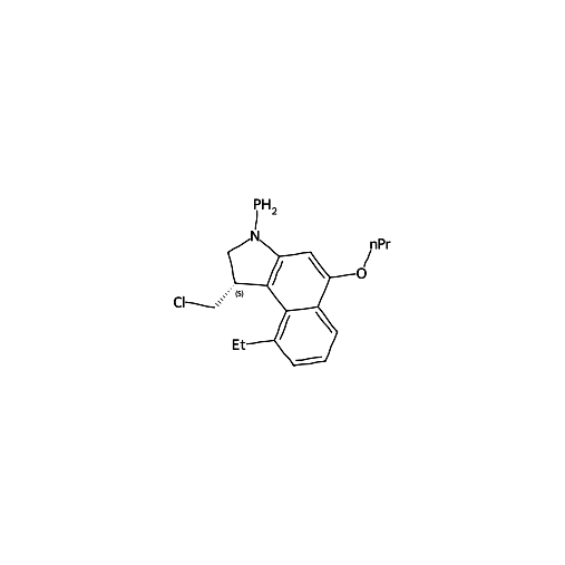 CCCOc1cc2c(c3c(CC)cccc13)[C@H](CCl)CN2P